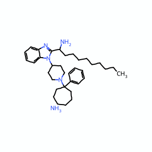 CCCCCCCCCC(N)c1nc2ccccc2n1C1CCN(C2(c3ccccc3)CCCCCC2)CC1.N